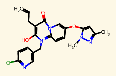 C=CCc1c(O)[n+](Cc2ccc(Cl)nc2)c2ccc(Oc3cc(C)nn3C)cn2c1=O